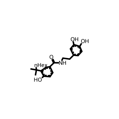 CCCCCCC(C)(C)c1cc(C(=O)NCCc2ccc(O)c(O)c2)ccc1O